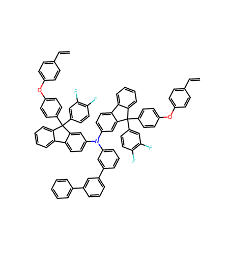 C=Cc1ccc(Oc2ccc(C3(c4ccc(F)c(F)c4)c4ccccc4-c4ccc(N(c5cccc(-c6cccc(-c7ccccc7)c6)c5)c5ccc6c(c5)C(c5ccc(Oc7ccc(C=C)cc7)cc5)(c5ccc(F)c(F)c5)c5ccccc5-6)cc43)cc2)cc1